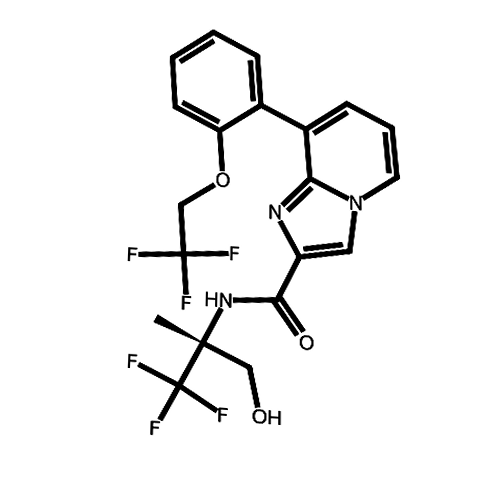 C[C@](CO)(NC(=O)c1cn2cccc(-c3ccccc3OCC(F)(F)F)c2n1)C(F)(F)F